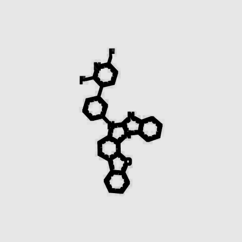 Fc1ccc(-c2cccc(-n3c4ccc5c6ccccc6oc5c4n4c5ccccc5nc34)c2)c(F)n1